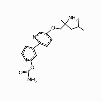 CC(C)CC(C)(N)COc1ccc(-c2ccnc(OC(N)=O)c2)nc1